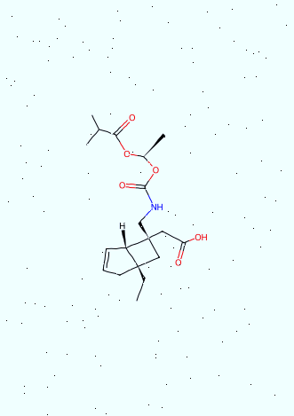 CC[C@@]12CC=C[C@@H]1[C@](CNC(=O)O[C@H](C)OC(=O)C(C)C)(CC(=O)O)C2